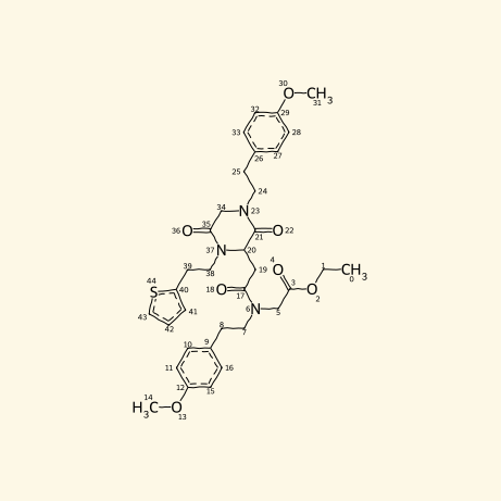 CCOC(=O)CN(CCc1ccc(OC)cc1)C(=O)CC1C(=O)N(CCc2ccc(OC)cc2)CC(=O)N1CCc1cccs1